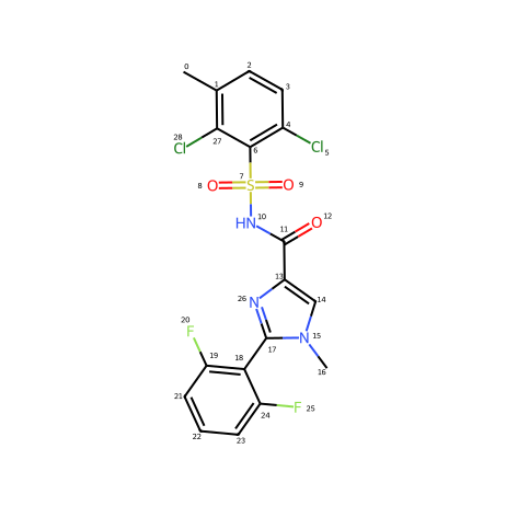 Cc1ccc(Cl)c(S(=O)(=O)NC(=O)c2cn(C)c(-c3c(F)cccc3F)n2)c1Cl